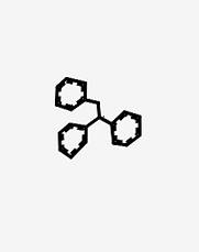 c1ccc(C[C](c2ccccc2)c2ccccc2)cc1